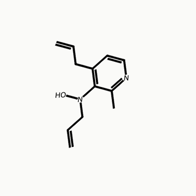 C=CCc1ccnc(C)c1N(O)CC=C